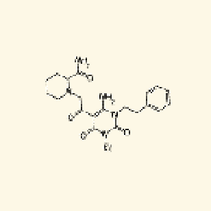 CCn1c(=O)c(C(=O)CN2CCCCC2C(N)=O)c(N)n(CCc2ccccc2)c1=O